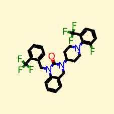 O=C1N(Cc2ccccc2C(F)(F)F)c2ccccc2CN1C1CCN(c2c(F)cccc2C(F)(F)F)CC1